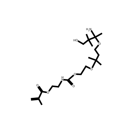 C=C(C)C(=O)OCCNC(=O)OCCOC(C)(C)CCOC(C)(N)C(C)(C)CO